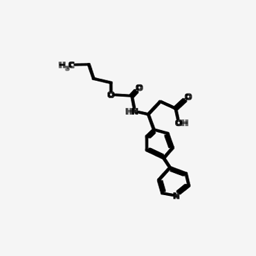 CCCCOC(=O)NC(CC(=O)O)c1ccc(-c2ccncc2)cc1